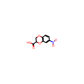 O=C(O)C1COc2ccc([N+](=O)[O-])cc2O1